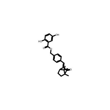 CC12CCC(C(=Cc3ccc(COC(=O)c4cc(O)ccc4O)cc3)C1=O)C2(C)C